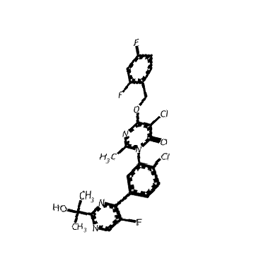 Cc1nc(OCc2ccc(F)cc2F)c(Cl)c(=O)n1-c1cc(-c2nc(C(C)(C)O)ncc2F)ccc1Cl